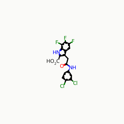 O=C(Cc1c(C(=O)O)[nH]c2c(F)c(F)c(F)cc12)Nc1ccc(Cl)c(Cl)c1